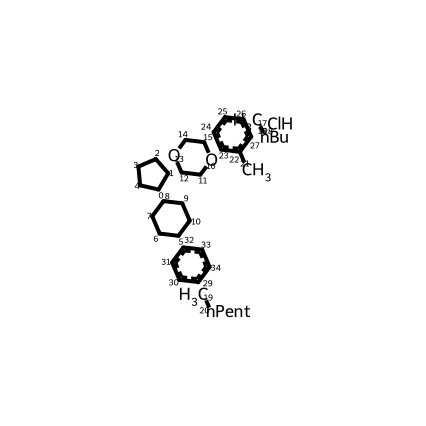 C1CCCC1.C1CCCCC1.C1COCCO1.CCCCC.CCCCCC.Cc1ccccc1.Cl.c1ccccc1